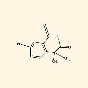 CC1(C)C(=O)OC(=O)c2cc(Br)ccc21